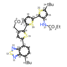 CCOC(=O)Cc1cc(-c2ccc(C(C)(C)C)c3nsnc23)sc1-c1ccc(-c2sc(C(C)(C)C)cc2NC(=O)OCC)s1